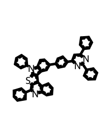 c1ccc(-c2cc(-c3ccc(-c4ccc5c(c4)c4c6c(sc4n5-c4ccccc4)c(-c4ccccc4)nc4ccccc46)cc3)nc(-c3ccccc3)n2)cc1